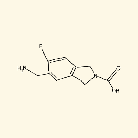 NCc1cc2c(cc1F)CN(C(=O)O)C2